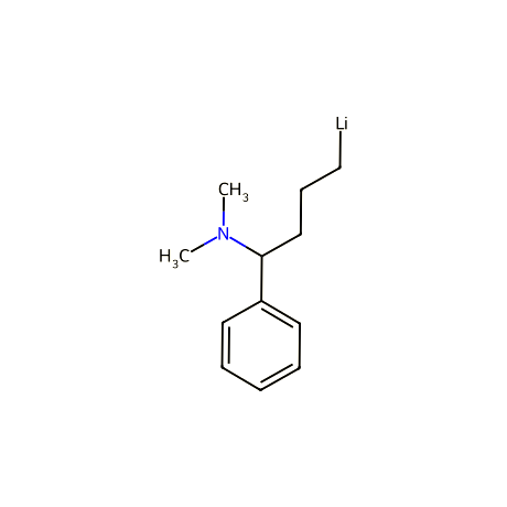 [Li][CH2]CCC(c1ccccc1)N(C)C